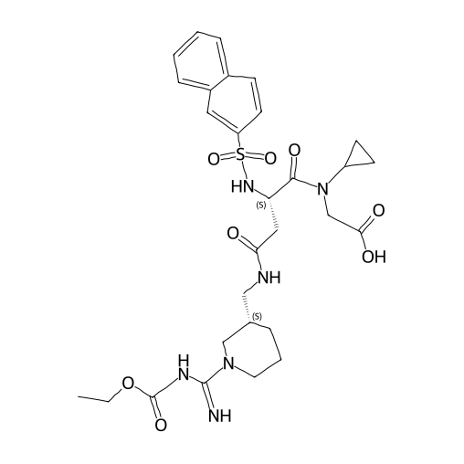 CCOC(=O)NC(=N)N1CCC[C@@H](CNC(=O)C[C@H](NS(=O)(=O)c2ccc3ccccc3c2)C(=O)N(CC(=O)O)C2CC2)C1